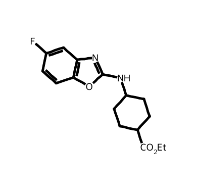 CCOC(=O)C1CCC(Nc2nc3cc(F)ccc3o2)CC1